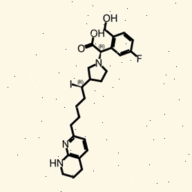 O=C(O)[C@@H](c1cc(F)ccc1CO)N1CCC([C@H](I)CCCCc2ccc3c(n2)NCCC3)C1